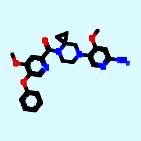 COc1cc(C(=O)N2CCN(c3cnc(N)cc3OC)CC23CC3)ncc1Oc1ccccc1